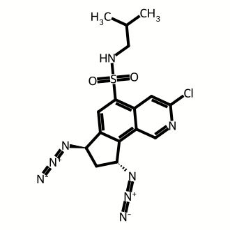 CC(C)CNS(=O)(=O)c1cc2c(c3cnc(Cl)cc13)[C@H](N=[N+]=[N-])C[C@H]2N=[N+]=[N-]